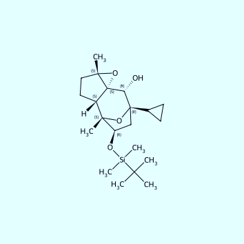 CC(C)(C)[Si](C)(C)O[C@@H]1C[C@]2(C3CC3)O[C@@]1(C)[C@@H]1CC[C@]3(C)O[C@]13[C@@H]2O